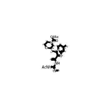 C=C(N/C(=N\C)NC(C)=O)c1nc2cc(C)ccn2c1C[C@H]1CN(C(=O)OC)CCO1